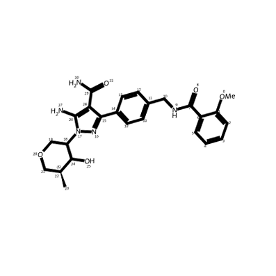 COc1ccccc1C(=O)NCc1ccc(-c2nn(C3COC[C@H](C)C3O)c(N)c2C(N)=O)cc1